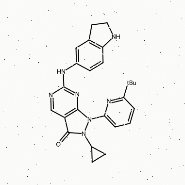 CC(C)(C)c1cccc(-n2c3nc(Nc4ccc5c(c4)CCN5)ncc3c(=O)n2C2CC2)n1